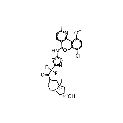 COc1ccc(Cl)c(F)c1-c1nc(C)ccc1C(=O)Nc1nnc(C(F)(F)C(=O)N2CCN3C[C@@H](O)C[C@H]3C2)s1